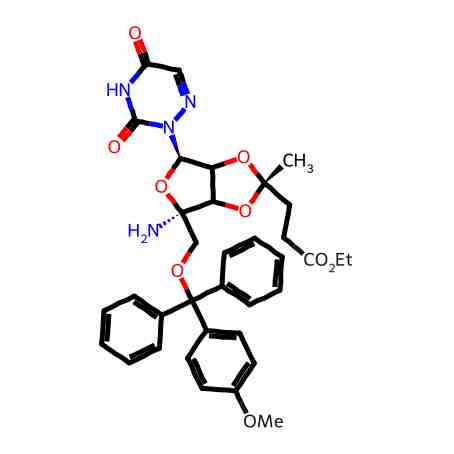 CCOC(=O)CC[C@@]1(C)OC2C(O1)[C@@](N)(COC(c1ccccc1)(c1ccccc1)c1ccc(OC)cc1)O[C@H]2n1ncc(=O)[nH]c1=O